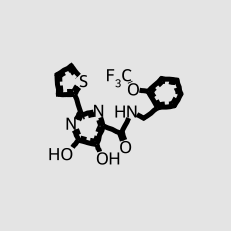 O=C(NCc1ccccc1OC(F)(F)F)c1nc(-c2cccs2)nc(O)c1O